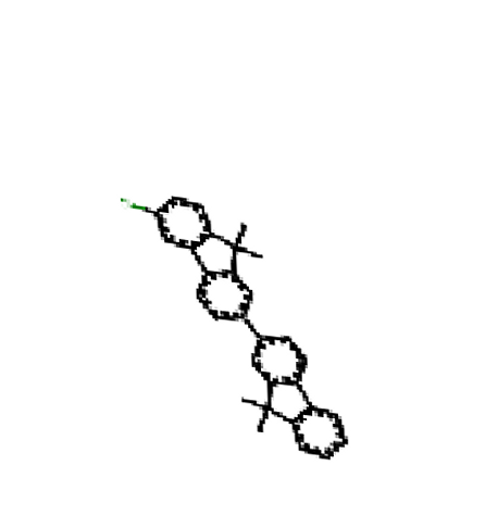 CC1(C)c2ccccc2-c2ccc(-c3ccc4c(c3)C(C)(C)c3ccc(Cl)cc3-4)cc21